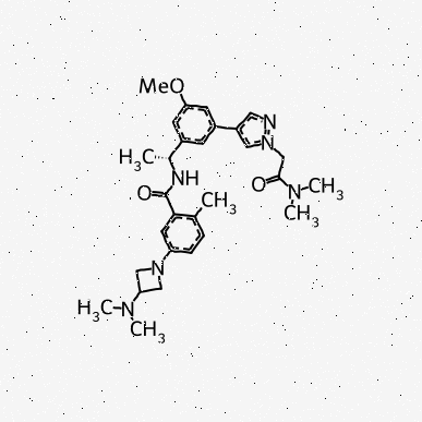 COc1cc(-c2cnn(CC(=O)N(C)C)c2)cc([C@@H](C)NC(=O)c2cc(N3CC(N(C)C)C3)ccc2C)c1